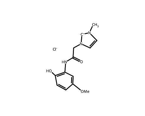 COc1ccc(O)c(NC(=O)CN2[C+]N(C)C=C2)c1.[Cl-]